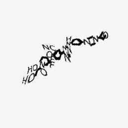 N#Cc1cc(-c2ncnc(Nc3ccc(N4CCN(C5COC5)CC4)cc3)n2)ccc1OC1CCN(C(=O)C(O)CO)CC1(F)F